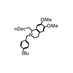 CCCCCCCCCCCC1c2cc(OC)c(OC)cc2CCN1Cc1ccc(C(C)(C)C)cc1